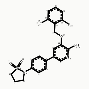 Nc1ncc(-c2ccc(N3CCCS3(=O)=O)cc2)cc1OCc1c(F)cccc1C(F)(F)F